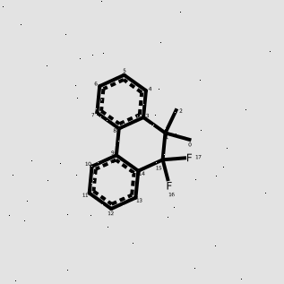 CC1(C)c2ccccc2-c2ccccc2C1(F)F